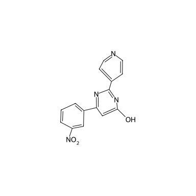 O=[N+]([O-])c1cccc(-c2cc(O)nc(-c3ccncc3)n2)c1